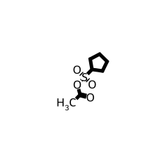 CC(=O)OS(=O)(=O)C1CCCC1